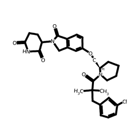 CC(C)(Cc1cccc(Cl)c1)C(=O)N1CCCC[C@@H]1COc1ccc2c(c1)CN(C1CCC(=O)NC1=O)C2=O